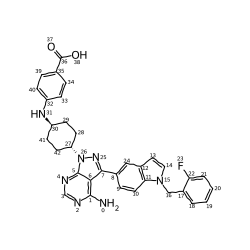 Nc1ncnc2c1c(-c1ccc3c(ccn3Cc3ccccc3F)c1)nn2[C@H]1CC[C@H](Nc2ccc(C(=O)O)cc2)CC1